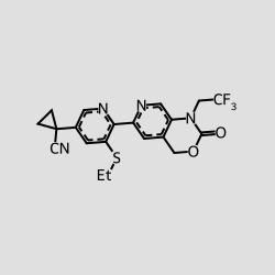 CCSc1cc(C2(C#N)CC2)cnc1-c1cc2c(cn1)N(CC(F)(F)F)C(=O)OC2